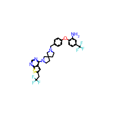 Nc1cc(C(F)(F)F)ccc1Oc1ccc(CN2CCC3(CCN(c4ncnc5sc(CC(F)(F)F)cc45)C3)C2)cc1